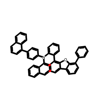 c1ccc(-c2cccc3c2oc2c(-c4ccccc4N(c4ccc(-c5cccc6ccccc56)cc4)c4cccc5ccccc45)cccc23)cc1